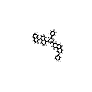 c1ccc(-c2ccc3ccc4cc(-c5nc(-c6ccccc6)nc(-c6cccc7c(-c8cccc9ccccc89)cccc67)n5)ccc4c3c2)cc1